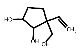 C=CC1(CO)CCC(O)C1O